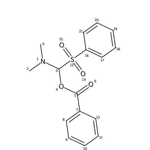 CN(C)C(OC(=O)c1ccccc1)S(=O)(=O)c1ccccc1